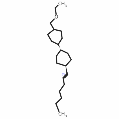 CCCCC/C=C/[C@H]1CC[C@H](C2CCC(COCC)CC2)CC1